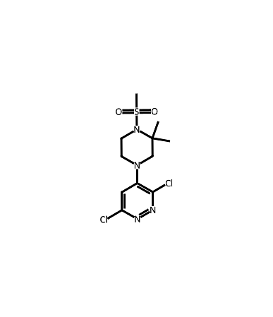 CC1(C)CN(c2cc(Cl)nnc2Cl)CCN1S(C)(=O)=O